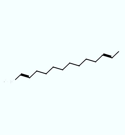 CC=CCCCCCCCCC=CC=O